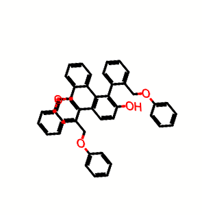 Oc1ccc(-c2ccccc2COc2ccccc2)c(-c2ccccc2COc2ccccc2)c1-c1ccccc1COc1ccccc1